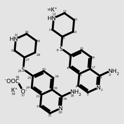 Nc1nccc2cc(SC3CCCNC3)ccc12.Nc1nccc2cc(SC3CCCNC3)ccc12.O=C([O-])[O-].[K+].[K+]